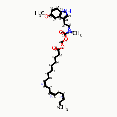 CC/C=C\C/C=C\C/C=C\CCCCCCCC(=O)OCOC(=O)N(C)CCc1c[nH]c2ccc(OC)cc12